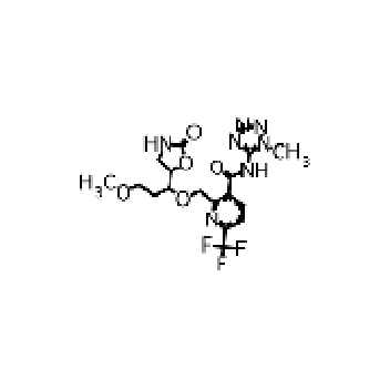 COCCC(OCc1nc(C(F)(F)F)ccc1C(=O)Nc1nnnn1C)C1CNC(=O)O1